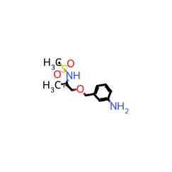 C[C@H](COCc1cccc(N)c1)NS(C)(=O)=O